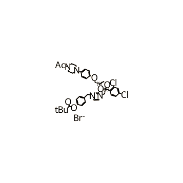 CC(=O)N1CCN(c2ccc(OC[C@H]3CO[C@](Cn4cc[n+](Cc5ccc(OC(=O)C(C)(C)C)cc5)c4)(c4ccc(Cl)cc4Cl)O3)cc2)CC1.[Br-]